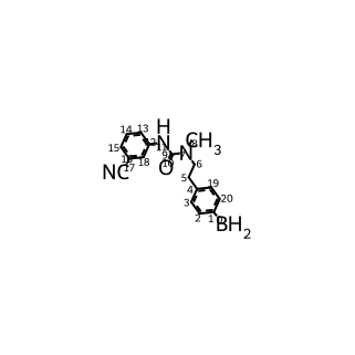 Bc1ccc(CCN(C)C(=O)Nc2cccc(C#N)c2)cc1